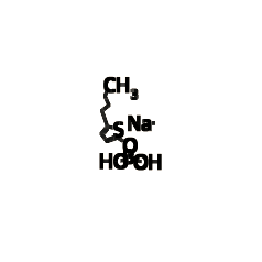 CCCCc1ccc(OB(O)O)s1.[Na]